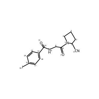 N#CC1CCCN1C(=O)CNC(=O)c1ccc(I)cc1